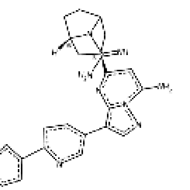 N=C(N)N1C2CC[C@H]1C[C@H](c1cc(N)n3ncc(-c4ccc(-c5ccccc5)nc4)c3n1)C2